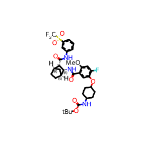 COc1cc(F)c(OC2CCC(NC(=O)OC(C)(C)C)CC2)cc1C(=O)N[C@@H]1[C@H]2CC[C@H](C2)[C@@H]1C(=O)Nc1cccc(S(=O)(=O)C(F)(F)F)c1